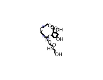 O=C(CO/N=C1/C=C/CC/C=C/CCOC(=O)c2c(O)cc(O)cc2C1)NCCO